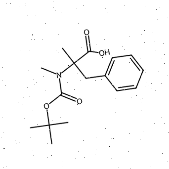 CN(C(=O)OC(C)(C)C)C(C)(Cc1ccccc1)C(=O)O